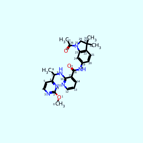 COc1nccc(C(C)Nc2ncccc2C(=O)Nc2ccc3c(c2)N(C(C)=O)CC3(C)C)n1